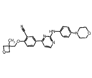 CC1(COc2ccc(-c3ccnc(Nc4ccc(N5CCOCC5)cc4)n3)cc2C#N)COC1